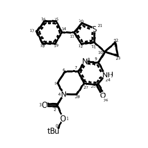 CC(C)(C)OC(=O)N1CCc2nc(C3(c4cc(-c5ccccc5)cs4)CC3)[nH]c(=O)c2C1